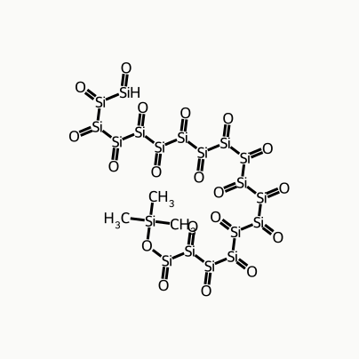 C[Si](C)(C)O[Si](=O)[Si](=O)[Si](=O)[Si](=O)[Si](=O)[Si](=O)[Si](=O)[Si](=O)[Si](=O)[Si](=O)[Si](=O)[Si](=O)[Si](=O)[Si](=O)[Si](=O)[Si](=O)[Si](=O)[SiH]=O